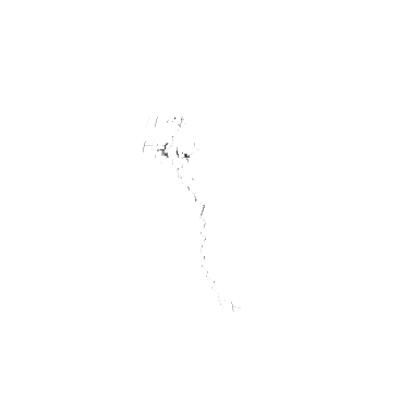 CCCCCCCCCCCCCCCCCCOCC(COP(=O)(O)CCCN(C)C)OC(=O)CC